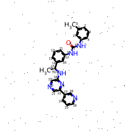 Cc1cccc(NC(=O)Nc2cccc([C@H](C)Nc3cncc(-c4cccnc4)n3)c2)c1